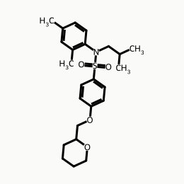 Cc1ccc(N(CC(C)C)S(=O)(=O)c2ccc(OCC3CCCCO3)cc2)c(C)c1